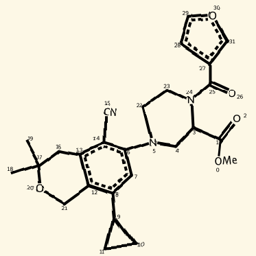 COC(=O)C1CN(c2cc(C3CC3)c3c(c2C#N)CC(C)(C)OC3)CCN1C(=O)c1ccoc1